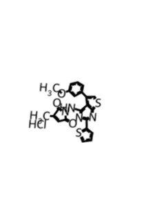 COc1cccc(-c2csc3nc(-c4cccs4)nc(NN4C(=O)C=C(C)C4=O)c23)c1.Cl